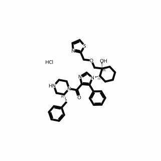 Cl.O=C(c1ncn([C@H]2CCCC[C@]2(O)COCc2nccs2)c1-c1ccccc1)N1CCNC[C@H]1Cc1ccccc1